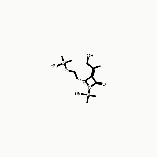 C/C(CO)=C1\C(=O)N([Si](C)(C)C(C)(C)C)[C@@H]1CCO[Si](C)(C)C(C)(C)C